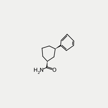 NC(=O)[C@H]1CCC[C@@H](c2ccccc2)C1